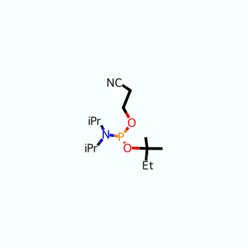 CCC(C)(C)OP(OCCC#N)N(C(C)C)C(C)C